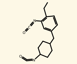 CCc1ccc(CC2CCC(N=C=O)CC2)cc1N=C=O